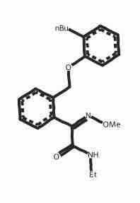 CCCCc1ccccc1OCc1ccccc1C(=NOC)C(=O)NCC